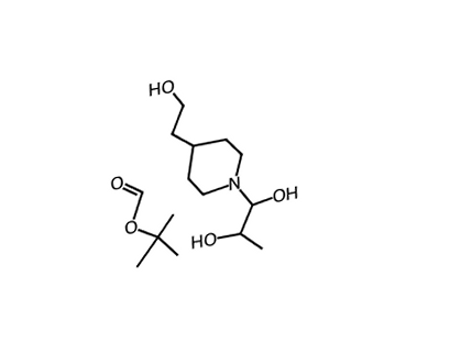 CC(C)(C)OC=O.CC(O)C(O)N1CCC(CCO)CC1